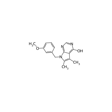 COc1cccc(Cn2c(C)c(C)c3c(O)ncnc32)c1